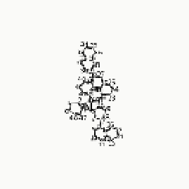 c1ccc(-n2c3cc(-c4cccc5ccccc45)ccc3c3c4cccc5cc(-c6ccc7ccccc7c6)c6cccc(c6c54)c32)cc1